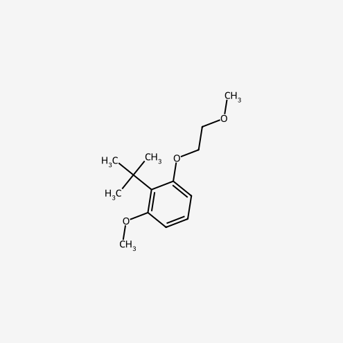 COCCOc1cccc(OC)c1C(C)(C)C